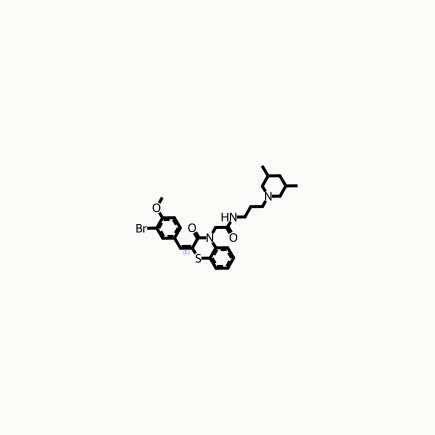 COc1ccc(/C=C2/Sc3ccccc3N(CC(=O)NCCCN3CC(C)CC(C)C3)C2=O)cc1Br